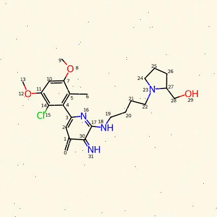 C=C1C=C(c2c(C)c(OC)cc(OC)c2Cl)N=C(NCCCCN2CCCC2CO)C1=N